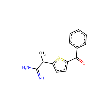 CC(C(=N)N)c1ccc(C(=O)c2ccccc2)s1